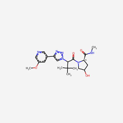 CNC(=O)[C@H]1CC(O)CN1C(=O)C(n1cc(-c2cncc(OC)c2)nn1)C(C)(C)C